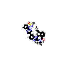 [2H]C([2H])([2H])N1C(=O)c2cccc(C#CC)c2[C@H]2C[C@@H]1c1nc3ccc(-c4cnc(C5(N[S+]([O-])C(C)(C)C)CCCC5)nc4)cc3n12